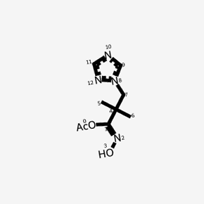 CC(=O)OC(=NO)C(C)(C)Cn1cncn1